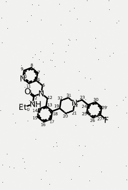 CCNC(=O)N(Cc1cccnc1)Cc1ccccc1C1CCN(Cc2ccc(F)cc2)CC1